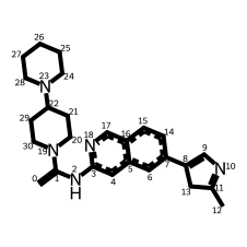 C=C(Nc1cc2cc(C3=CN=C(C)C3)ccc2cn1)N1CCC(N2CCCCC2)CC1